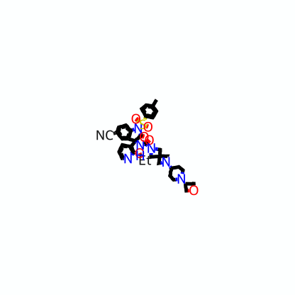 CCOc1ncccc1C1(NC(=O)N2CC3(C2)CN(C2CCN(C4COC4)CC2)C3)C(=O)N(S(=O)(=O)c2ccc(C)cc2)c2ccc(C#N)cc21